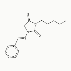 O=C1CN(/N=C/c2ccccc2)C(=O)N1CCCCI